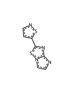 c1cc(-c2nc3nccn3s2)sn1